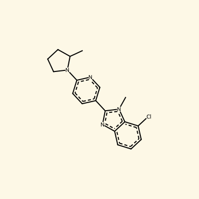 CC1CCCN1c1ccc(-c2nc3cccc(Cl)c3n2C)cn1